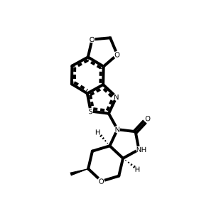 C[C@H]1C[C@@H]2[C@H](CO1)NC(=O)N2c1nc2c3c(ccc2s1)OCO3